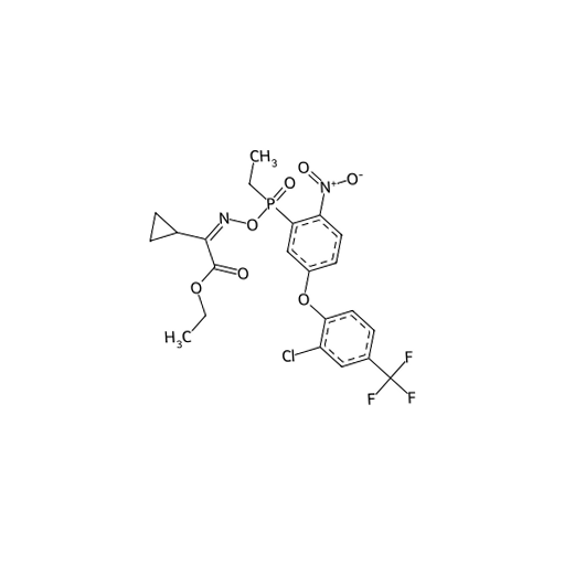 CCOC(=O)C(=NOP(=O)(CC)c1cc(Oc2ccc(C(F)(F)F)cc2Cl)ccc1[N+](=O)[O-])C1CC1